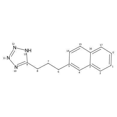 c1ccc2cc(CCCc3nnn[nH]3)ccc2c1